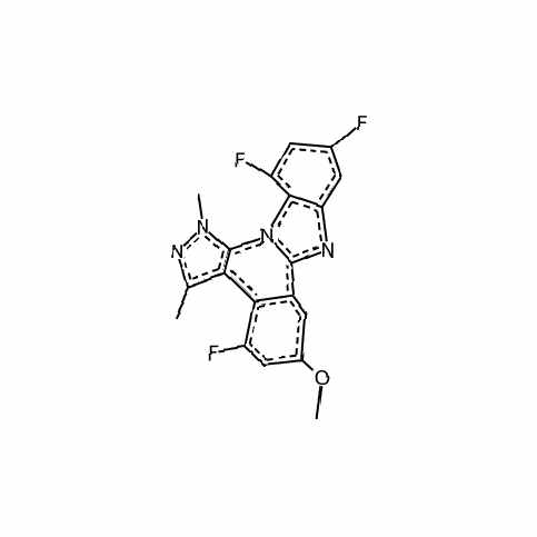 COc1cc(F)c2c(c1)c1nc3cc(F)cc(F)c3n1c1c2c(C)nn1C